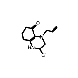 C=CCN1CC(Cl)NC2=C1C(=O)CCC2